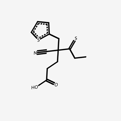 CCC(=S)C(C#N)(CCC(=O)O)Cc1cccs1